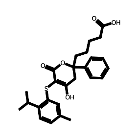 Cc1ccc(C(C)C)c(SC2=C(O)CC(CCCCC(=O)O)(c3ccccc3)OC2=O)c1